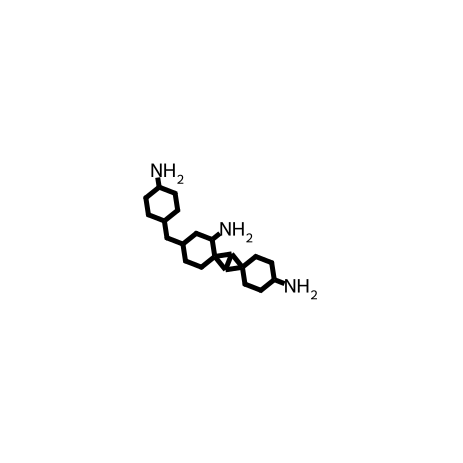 NC1CCC(CC2CCC3(C(N)C2)C2C3C23CCC(N)CC3)CC1